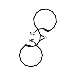 N#CC1(C2OC2C2(C#N)/C=C/CCCCCCCCC2)/C=C/CCCCCCCCC1